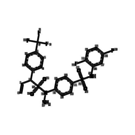 C=CC(c1ccc(C(F)(F)F)cc1)S(=O)(=O)N(N)c1ccc(S(=O)(=O)Nc2cc(F)ccc2F)cc1